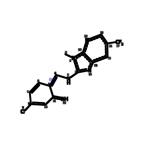 Cn1c(N/C=C2/C=CC(Cl)=CC2=N)nc2cc(C(F)(F)F)cnc21